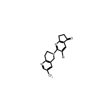 O=C1CCc2nc(N3CCc4ncc(C(F)(F)F)cc4C3)c(Br)cc21